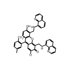 Cc1ccc(C(=O)O)c(-c2c3cc(Cl)c(=O)c(CNc4cccc5cccnc45)c-3oc3c(CNc4cccc5cccnc45)c(O)ccc23)c1